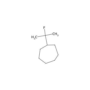 CC(C)(F)C1CCCCCC1